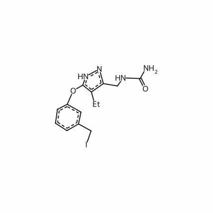 CCc1c(CNC(N)=O)n[nH]c1Oc1cccc(CI)c1